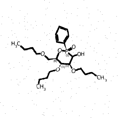 CCCCOC[C@H]1O[P@@](=O)(c2ccccc2)C(O)[C@@H](OCCCC)[C@@H]1OCCCC